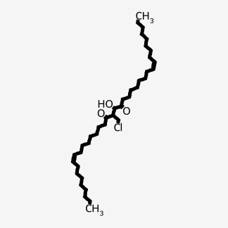 CCCCCCCC/C=C\CCCCCCCC(=O)C(O)C(CCl)C(=O)CCCCCCC/C=C\CCCCCCCC